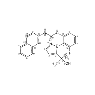 CC(C)(O)c1ccnn1-c1c(F)cccc1OC(=O)Nc1cnc2ccccc2c1